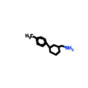 Cc1ccc(C2CCCC(CN)C2)cc1